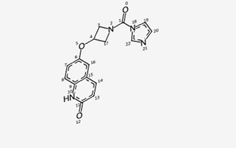 O=C(N1CC(Oc2ccc3[nH]c(=O)ccc3c2)C1)n1ccnc1